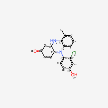 Cc1ccccc1NC1=CC(=O)C=C/C1=N\c1ccc(O)cc1Cl